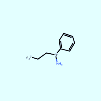 CCC[Si](N)c1ccccc1